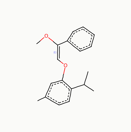 CO/C(=C/Oc1cc(C)ccc1C(C)C)c1ccccc1